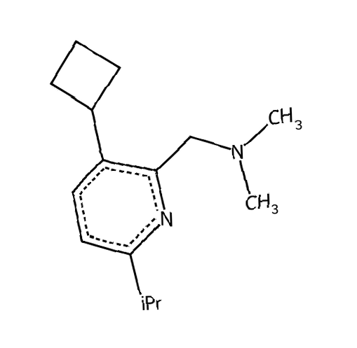 CC(C)c1ccc(C2CCC2)c(CN(C)C)n1